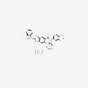 Cl.Cl.Cl.O=C(Nc1ccc2ncsc2c1)c1cc2nc(Nc3ccccc3C(F)(F)F)[nH]c2cc1N1CCNCC1